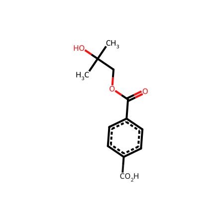 CC(C)(O)COC(=O)c1ccc(C(=O)O)cc1